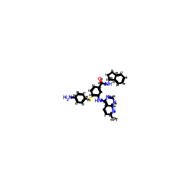 CC(C)c1ccc2c(Nc3cc(C(=O)N[C@@H]4CCc5ccccc54)ccc3Sc3ccc(N)cc3)ncnc2n1